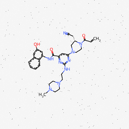 C=CC(=O)N1CCN(c2cc(C(=O)Nc3cc(O)cc4ccccc34)nc(NCCN3CCN(C)CC3)n2)C[C@@H]1CC#N